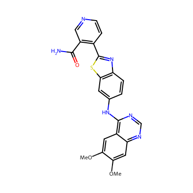 COc1cc2ncnc(Nc3ccc4nc(-c5ccncc5C(N)=O)sc4c3)c2cc1OC